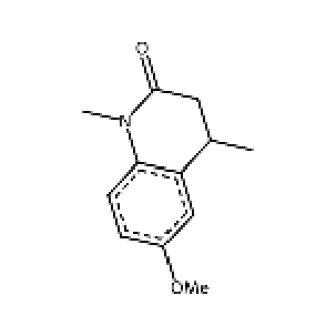 COc1ccc2c(c1)C(C)CC(=O)N2C